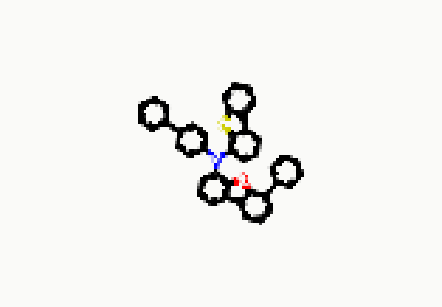 c1ccc(-c2ccc(N(c3cccc4c3oc3c(-c5ccccc5)cccc34)c3cccc4c3sc3ccccc34)cc2)cc1